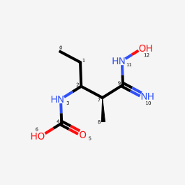 CCC(NC(=O)O)[C@H](C)C(=N)NO